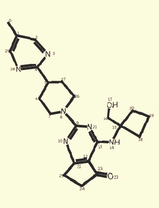 Cc1cnc(C2CCN(c3nc4c(c(NC5(CO)CCC5)n3)C(=O)CC4)CC2)nc1